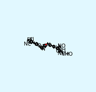 CCOc1c(Cl)cc(C(C)(C)c2ccc(OCc3ccnc(N4CCC(CN5CCC(C6CCN(c7ccc(NC(CCC=O)C(=O)NC)c(N(C)N=O)c7)CC6)CC5)CC4)n3)cc2)cc1C#N